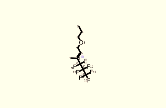 CC[CH]OC/C=C(\C)C(F)(F)C(F)(F)C(F)(F)F